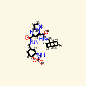 O=C(NCc1ccc2oc(=O)[nH]c2c1)c1cc(C(=O)NCC23C=C4C5CC2C5C43)n2nccc2n1